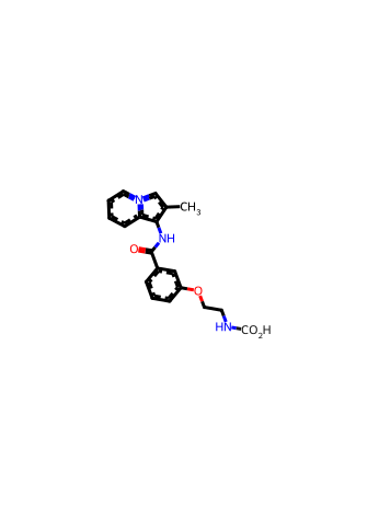 Cc1cn2ccccc2c1NC(=O)c1cccc(OCCNC(=O)O)c1